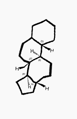 C1CC[C@H]2[C](C1)CC[C@H]1[C@@H]3CCC[C@H]3CC[C@@H]12